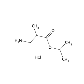 CC(C)OC(=O)C(C)CN.Cl